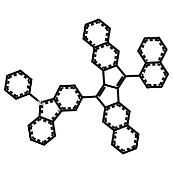 c1ccc(-n2c3ccccc3c3cc(C4=C5C(=C(c6cccc7ccccc67)c6cc7ccccc7cc65)c5cc6ccccc6cc54)ccc32)cc1